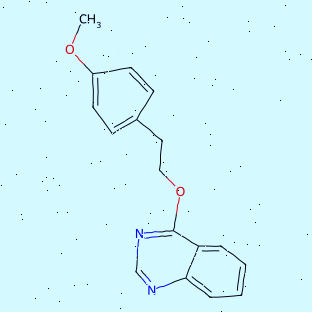 COc1ccc(CCOc2ncnc3ccccc23)cc1